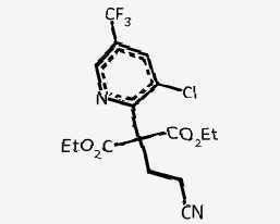 CCOC(=O)C(CCC#N)(C(=O)OCC)c1ncc(C(F)(F)F)cc1Cl